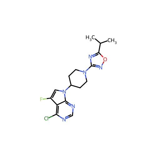 CC(C)c1nc(N2CCC(n3cc(F)c4c(Cl)ncnc43)CC2)no1